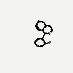 Fc1ccccc1-c1nccc2ccc#cc12